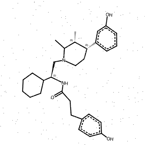 CC1[C@H](C)[C@H](c2cccc(O)c2)CCN1C[C@@H](NC(=O)CCc1ccc(O)cc1)C1CCCCC1